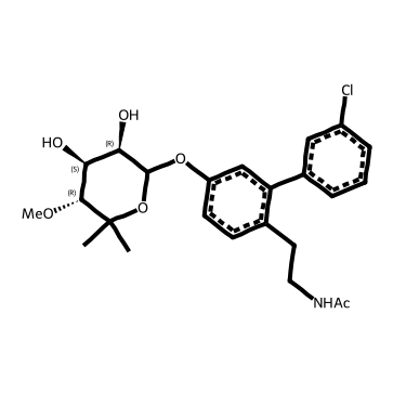 CO[C@@H]1[C@@H](O)[C@@H](O)C(Oc2ccc(CCNC(C)=O)c(-c3cccc(Cl)c3)c2)OC1(C)C